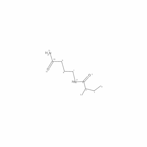 CCC(C)C(=O)NCCCC(N)=O